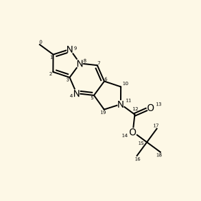 Cc1cc2nc3c(cn2n1)CN(C(=O)OC(C)(C)C)C3